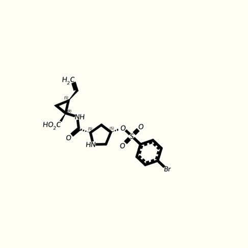 C=C[C@@H]1C[C@]1(NC(=O)[C@@H]1C[C@H](OS(=O)(=O)c2ccc(Br)cc2)CN1)C(=O)O